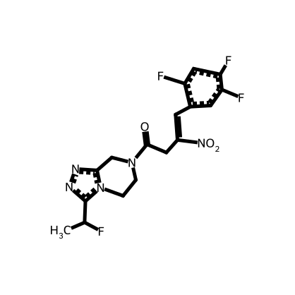 CC(F)c1nnc2n1CCN(C(=O)CC(=Cc1cc(F)c(F)cc1F)[N+](=O)[O-])C2